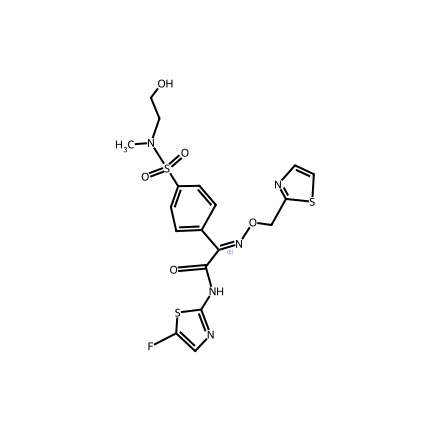 CN(CCO)S(=O)(=O)c1ccc(/C(=N\OCc2nccs2)C(=O)Nc2ncc(F)s2)cc1